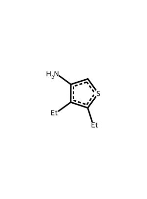 CCc1scc(N)c1CC